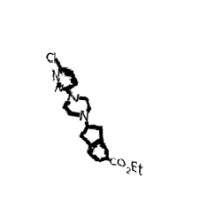 CCOC(=O)c1ccc2c(c1)CC(N1CCN(c3ccc(Cl)nn3)CC1)C2